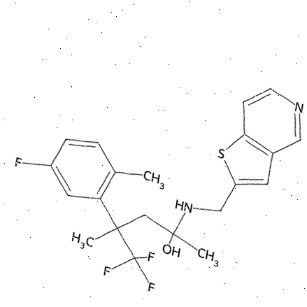 Cc1ccc(F)cc1C(C)(CC(C)(O)NCc1cc2cnccc2s1)C(F)(F)F